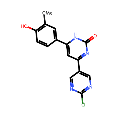 COc1cc(-c2cc(-c3cnc(Cl)nc3)nc(=O)[nH]2)ccc1O